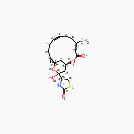 C/C1=C\C(=O)O[C@@H]2C[C@@H](CCC/C=C\CC1)O[C@@](O)([C@@H]1CSC(=O)N1)C2